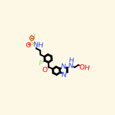 O=C(c1ccc2ncc(NCCO)nc2c1)c1cccc(CCCN[SH](=O)=O)c1F